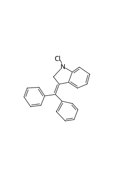 ClN1CC(=C(c2ccccc2)c2ccccc2)c2ccccc21